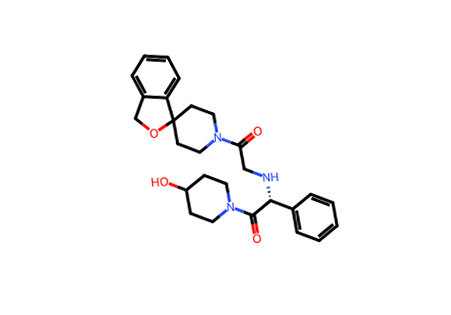 O=C(CN[C@@H](C(=O)N1CCC(O)CC1)c1ccccc1)N1CCC2(CC1)OCc1ccccc12